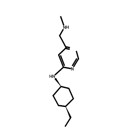 C=C(/C=C(\N=C/C)N[C@H]1CC[C@@H](CC)CC1)CNC